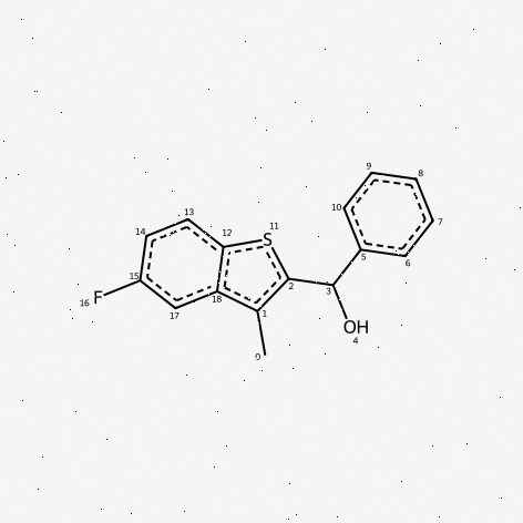 Cc1c(C(O)c2ccccc2)sc2ccc(F)cc12